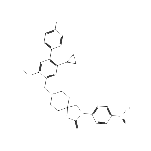 CCOc1cc(-c2ccc(F)cc2)c(C2CC2)cc1CN1CCC2(CC1)CN(c1ccc(S(=O)O)cc1)C(=O)O2